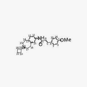 COc1ccc(C=CC(=O)Nc2ccc3c(c2)CCN(C2CCC2)CC3)cc1